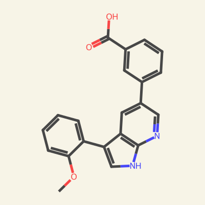 COc1ccccc1-c1c[nH]c2ncc(-c3cccc(C(=O)O)c3)cc12